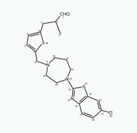 CC(C=O)Cc1ccc(CN2CCCN(c3nc4ccc(Cl)cc4s3)CC2)s1